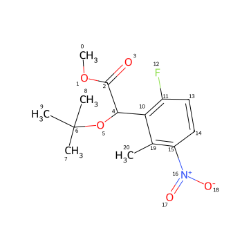 COC(=O)C(OC(C)(C)C)c1c(F)ccc([N+](=O)[O-])c1C